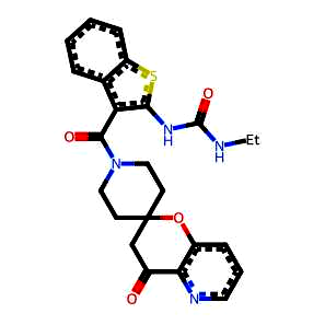 CCNC(=O)Nc1sc2ccccc2c1C(=O)N1CCC2(CC1)CC(=O)c1ncccc1O2